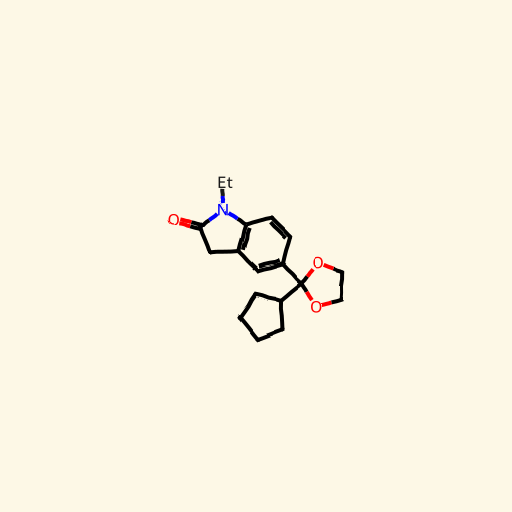 CCN1C(=O)Cc2cc(C3(C4CCCC4)OCCO3)ccc21